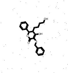 O=C1OC(c2ccccc2)C(CCCCO)C(O)=C1SCc1ccccc1